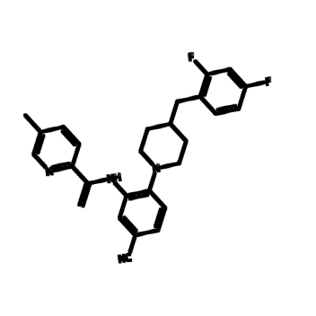 C=C(Nc1cc(C#N)ccc1N1CCC(Cc2ccc(F)cc2F)CC1)c1ccc(C)cn1